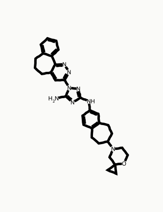 Nc1nc(Nc2ccc3c(c2)CCC(N2CCOC4(CC4)C2)CC3)nn1-c1cc2c(nn1)-c1ccccc1CCC2